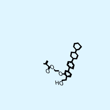 C=C(C)C(=O)OCCOc1cc(-c2ccc(C3CCC(C4CCCCC4)CC3)cc2)ccc1CCO